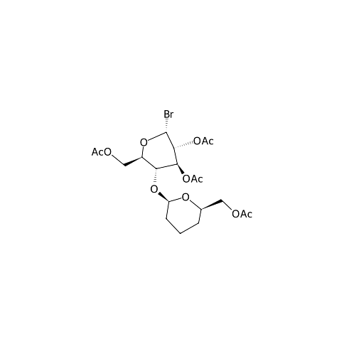 CC(=O)OC[C@H]1CCC[C@@H](O[C@H]2[C@H](OC(C)=O)[C@@H](OC(C)=O)[C@@H](Br)O[C@@H]2COC(C)=O)O1